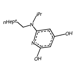 CCCCCCCCN(c1cc(O)cc(O)n1)C(C)C